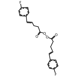 O=C(CC/C=C/c1ccc(F)cc1)OOC(=O)CC/C=C/c1ccc(F)cc1